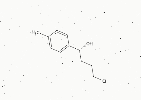 Cc1ccc([C@H](O)CCCCl)cc1